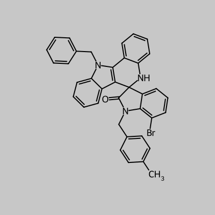 Cc1ccc(CN2C(=O)C3(Nc4ccccc4-c4c3c3ccccc3n4Cc3ccccc3)c3cccc(Br)c32)cc1